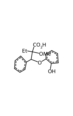 CCC(OC)(C(=O)O)C(Oc1ccccc1O)c1ccccc1